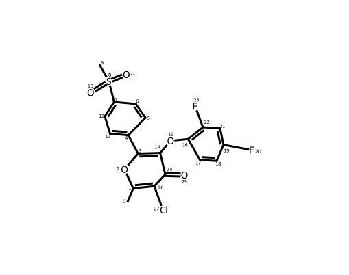 Cc1oc(-c2ccc(S(C)(=O)=O)cc2)c(Oc2ccc(F)cc2F)c(=O)c1Cl